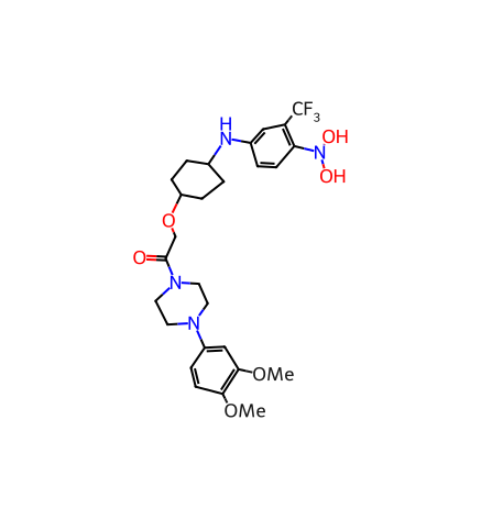 COc1ccc(N2CCN(C(=O)COC3CCC(Nc4ccc(N(O)O)c(C(F)(F)F)c4)CC3)CC2)cc1OC